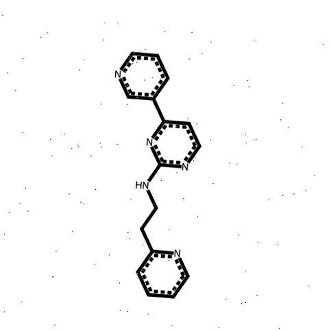 c1ccc(CCNc2nccc(-c3cccnc3)n2)nc1